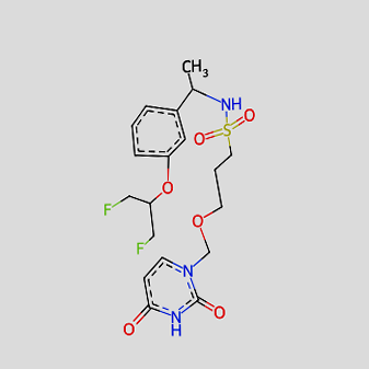 CC(NS(=O)(=O)CCCOCn1ccc(=O)[nH]c1=O)c1cccc(OC(CF)CF)c1